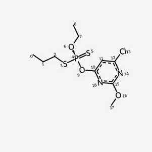 CCCS[P@@](=S)(OCC)Oc1cc(Cl)nc(OC)n1